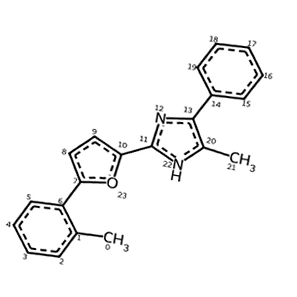 Cc1ccccc1-c1ccc(-c2nc(-c3ccccc3)c(C)[nH]2)o1